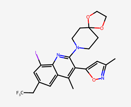 Cc1cc(-c2c(N3CCC4(CC3)OCCO4)nc3c(I)cc(CC(F)(F)F)cc3c2C)on1